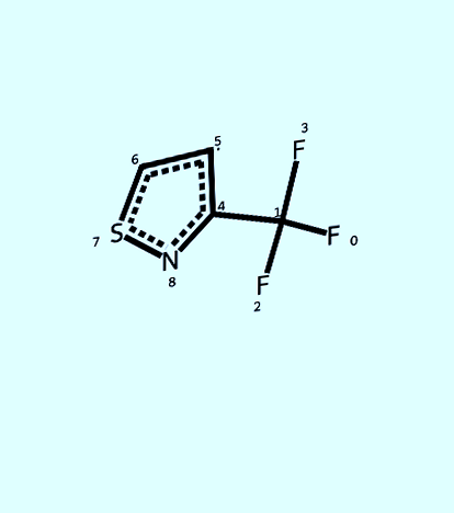 FC(F)(F)c1[c]csn1